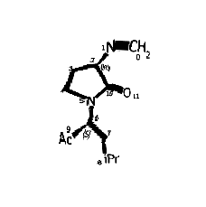 C=N[C@@H]1CCN([C@@H](CC(C)C)C(C)=O)C1=O